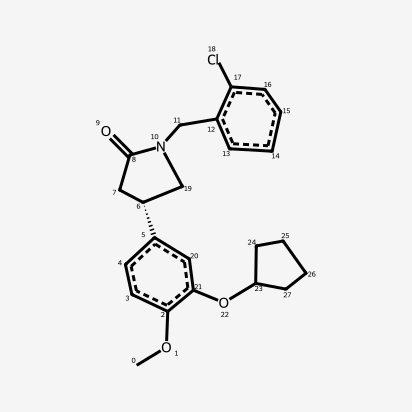 COc1ccc([C@@H]2CC(=O)N(Cc3ccccc3Cl)C2)cc1OC1CCCC1